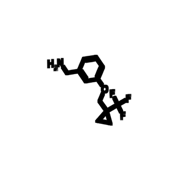 NCc1cccc(OCC2(C(F)(F)F)CC2)c1